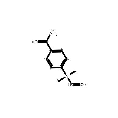 C[N+](C)([SH]=O)c1ccc(C(N)=O)cc1